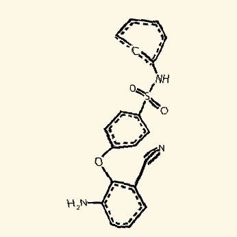 N#Cc1cccc(N)c1Oc1ccc(S(=O)(=O)Nc2ccccc2)cc1